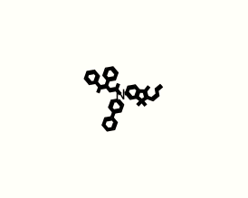 C=C/C=C\C1=C(C)c2ccc(N(/C(C)=C/C(=C(\C)c3ccccc3)c3ccccc3)c3ccc(C4=CCCC=C4)cc3)cc2C1(C)C